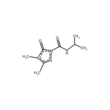 Cc1nn(C(=O)NC(C)C)c(=O)n1C